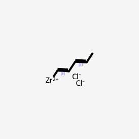 C/C=C/C=[CH]/[Zr+2].[Cl-].[Cl-]